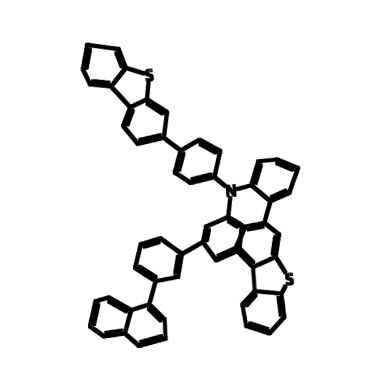 c1cc(-c2cccc(N(c3ccc(-c4ccc5c(c4)sc4ccccc45)cc3)c3ccccc3-c3ccc4c(c3)sc3ccccc34)c2)cc(-c2cccc3ccccc23)c1